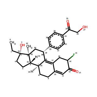 CC[C@]1(O)CC[C@H]2[C@@H]3CCC4=CC(=O)C(F)CC4=C3[C@@H](c3ccc(C(=O)CO)cc3)C[C@@]21C